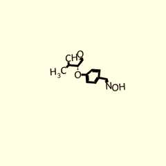 CC(C)[C@H](C=O)Oc1ccc(/C=N/O)cc1